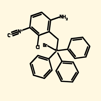 [C-]#[N+]c1ccc(N)c(CP(Br)(c2ccccc2)(c2ccccc2)c2ccccc2)c1Cl